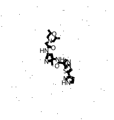 Cc1ncc(NC(=O)CN2CC(C)OC(C)C2)cc1NC(=O)c1cnn2cc(-c3cc[nH]n3)sc12